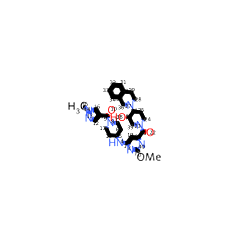 COc1nc(NC2CCN(C(=O)c3cnn(C)c3)CC2)cc(C(=O)N2CC[C@@H](N3CCc4ccccc4C3)[C@H](O)C2)n1